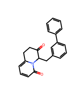 O=C1CCc2cccc(=O)n2C1Cc1cccc(-c2ccccc2)c1